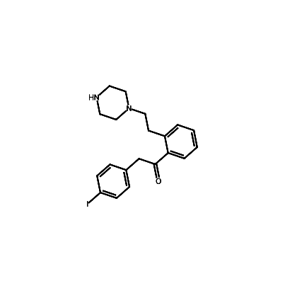 O=C(Cc1ccc(I)cc1)c1ccccc1CCN1CCNCC1